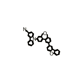 N#Cc1ccc2c(c1)c1ccccc1n2-c1ccc2c(c1)COCc1ccc(-c3ccc4oc5ccccc5c4c3)cc1-2